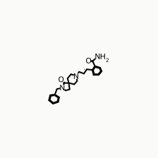 NC(=O)c1ccccc1[CH]CCN1CCC2(CC1)CCN(Cc1ccccc1)C2=O